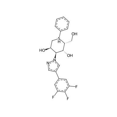 OC[C@@H]1[C@H](O)[C@@H](n2cc(-c3cc(F)c(F)c(F)c3)cn2)[C@@H](O)C[SH]1c1ccccc1